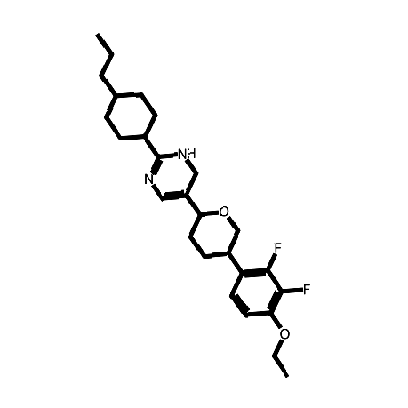 CCCC1CCC(C2=NC=C(C3CCC(c4ccc(OCC)c(F)c4F)CO3)CN2)CC1